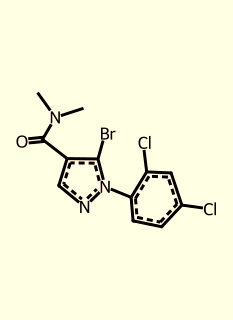 CN(C)C(=O)c1cnn(-c2ccc(Cl)cc2Cl)c1Br